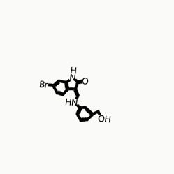 O=C1Nc2cc(Br)ccc2/C1=C\Nc1cccc(CO)c1